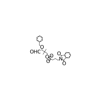 CC(C)(COS(=O)(=O)CCCN1C(=O)c2ccccc2C1=O)[C@H](C=O)OCc1ccccc1